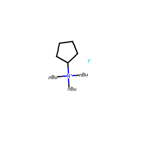 CCCC[N+](CCCC)(CCCC)C1CCCC1.[F-]